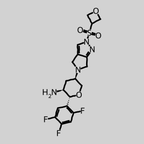 N[C@H]1C[C@@H](N2Cc3cn(S(=O)(=O)C4COC4)nc3C2)CO[C@@H]1c1cc(F)c(F)cc1F